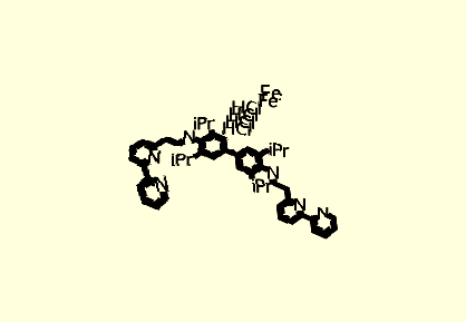 CC(C)c1cc(-c2cc(C(C)C)c(N=CCc3cccc(-c4ccccn4)n3)c(C(C)C)c2)cc(C(C)C)c1N=CCc1cccc(-c2ccccn2)n1.Cl.Cl.Cl.Cl.[Fe].[Fe]